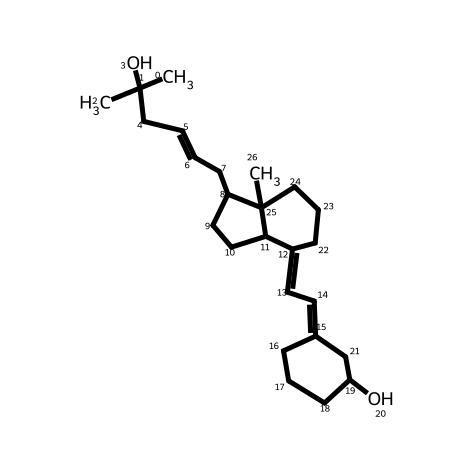 CC(C)(O)C/C=C/CC1CCC2/C(=C/C=C3\CCCC(O)C3)CCCC12C